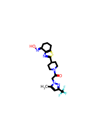 Cc1cc(C(F)(F)F)nn1CC(=O)N1CCC(c2nc3c(s2)CCCC3=NO)CC1